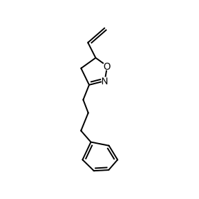 C=CC1CC(CCCc2ccccc2)=NO1